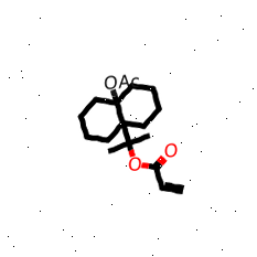 C=CC(=O)OC(C)(C)C12CCCCC1(OC(C)=O)CCCC2